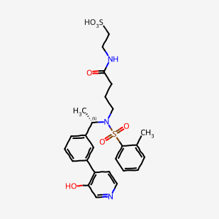 Cc1ccccc1S(=O)(=O)N(CCCC(=O)NCCS(=O)(=O)O)[C@@H](C)c1cccc(-c2ccncc2O)c1